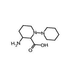 NC1CCCN(N2CCCCC2)C1C(=O)O